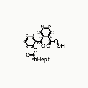 CCCCCCCC(=O)Oc1ccccc1C(=O)c1ccccc1C(=O)OO